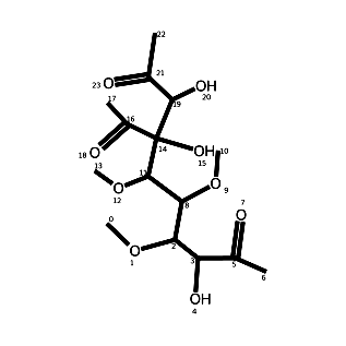 COC(C(O)C(C)=O)C(OC)C(OC)C(O)(C(C)=O)C(O)C(C)=O